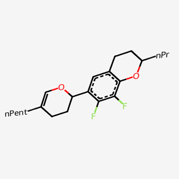 CCCCCC1=COC(c2cc3c(c(F)c2F)OC(CCC)CC3)CC1